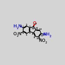 Nc1cc2c(cc1[N+](=O)[O-])-c1cc([N+](=O)[O-])c(N)cc1C2=O